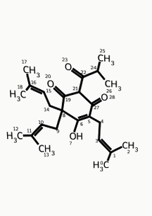 CC(C)=CCC1=C(O)C(CC=C(C)C)(CC=C(C)C)C(=O)C(C(=O)C(C)C)C1=O